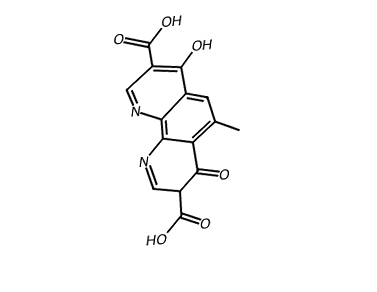 Cc1cc2c(O)c(C(=O)O)cnc2c2c1C(=O)C(C(=O)O)C=N2